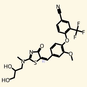 COc1cc(/C=C2/SC(N(C)CC(O)CO)=NC2=O)ccc1Oc1ccc(C#N)cc1C(F)(F)F